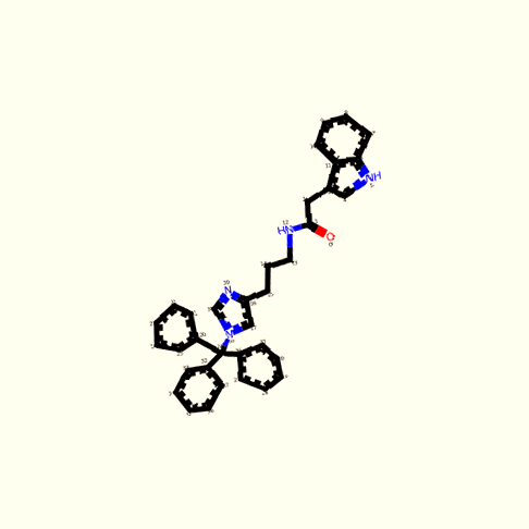 O=C(Cc1c[nH]c2ccccc12)NCCCc1cn(C(c2ccccc2)(c2ccccc2)c2ccccc2)cn1